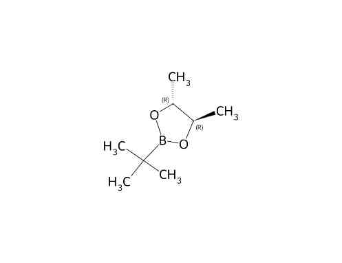 C[C@H]1OB(C(C)(C)C)O[C@@H]1C